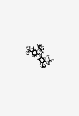 COc1ccc(N(Cc2cncs2)c2ccc(C(=O)O)cc2)cc1OC(C)C